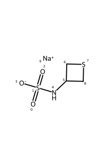 O=S(=O)([O-])NC1CSC1.[Na+]